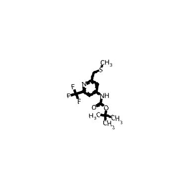 CSCc1cc(NC(=O)OC(C)(C)C)cc(C(F)(F)F)n1